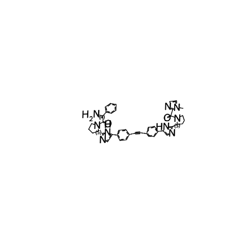 Cn1ccnc1C(=O)N1CCC[C@H]1c1ncc(-c2ccc(C#Cc3ccc(-c4cnc([C@@H]5CCCN5C(=O)[C@H](N)c5ccccc5)[nH]4)cc3)cc2)[nH]1